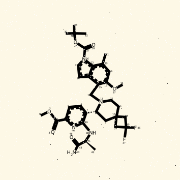 COC(=O)c1ccc([C@H]2CC3(CCN2Cc2c(OC)cc(C)c4c2ccn4C(=O)OC(C)(C)C)CC(F)(F)C3)c(N[C@@H](C)C(N)=O)n1